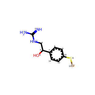 N=C(N)NCC(O)c1ccc(SBr)cc1